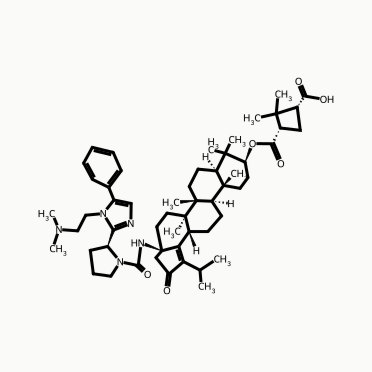 CC(C)C1=C2[C@H]3CC[C@@H]4[C@@]5(C)CC[C@H](OC(=O)[C@H]6C[C@@H](C(=O)O)C6(C)C)C(C)(C)[C@@H]5CC[C@@]4(C)[C@]3(C)CC[C@@]2(NC(=O)N2CCC[C@H]2c2ncc(-c3ccccc3)n2CCN(C)C)CC1=O